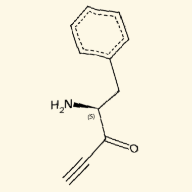 C#CC(=O)[C@@H](N)Cc1ccccc1